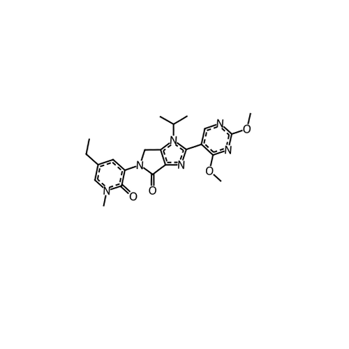 CCc1cc(N2Cc3c(nc(-c4cnc(OC)nc4OC)n3C(C)C)C2=O)c(=O)n(C)c1